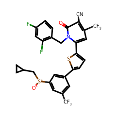 N#Cc1c(C(F)(F)F)cc(-c2ccc(-c3cc([S+]([O-])CC4CC4)cc(C(F)(F)F)c3)s2)n(Cc2ccc(F)cc2F)c1=O